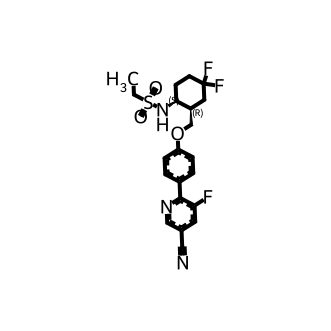 CCS(=O)(=O)N[C@H]1CCC(F)(F)C[C@H]1COc1ccc(-c2ncc(C#N)cc2F)cc1